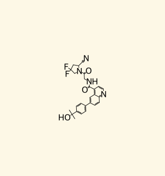 CC(C)(O)c1ccc(-c2ccc3nccc(C(=O)NCC(=O)N4CC(F)(F)CC4C#N)c3c2)cc1